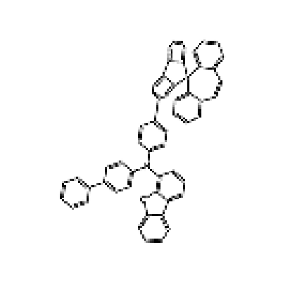 C1=Cc2ccccc2C2(c3ccccc31)c1ccccc1-c1ccc(-c3ccc(N(c4ccc(-c5ccccc5)cc4)c4cccc5c4oc4ccccc45)cc3)cc12